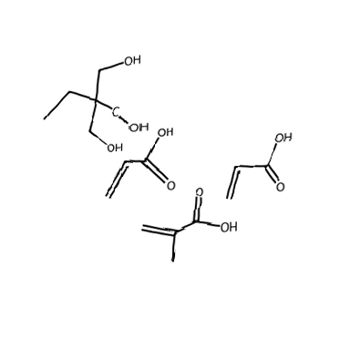 C=C(C)C(=O)O.C=CC(=O)O.C=CC(=O)O.CCC(CO)(CO)CO